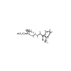 N[C@@H](CCCCNc1ccccc1[N+](=O)[O-])C(=O)O